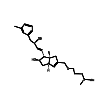 Cc1cccc(C[C@@H](O)/C=C/[C@@H]2[C@H]3CC(COCCCN(C)C(C)(C)C)=C[C@H]3C[C@H]2O)c1